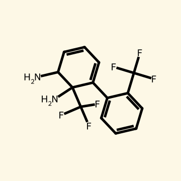 NC1C=CC=C(c2ccccc2C(F)(F)F)C1(N)C(F)(F)F